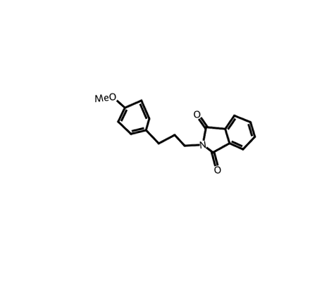 COc1ccc(CCCN2C(=O)c3ccccc3C2=O)cc1